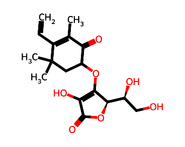 C=CC1=C(C)C(=O)C(OC2=C(O)C(=O)O[C@@H]2[C@@H](O)CO)CC1(C)C